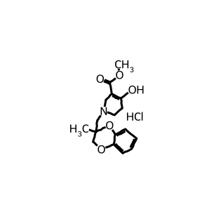 COC(=O)C1=C(O)CCN(CC2(C)COc3ccccc3O2)C1.Cl